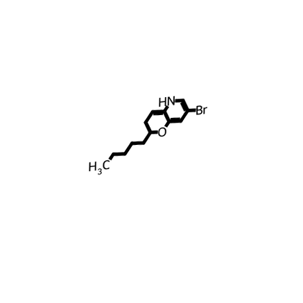 CCCCCC1CC=C2NC=C(Br)C=C2O1